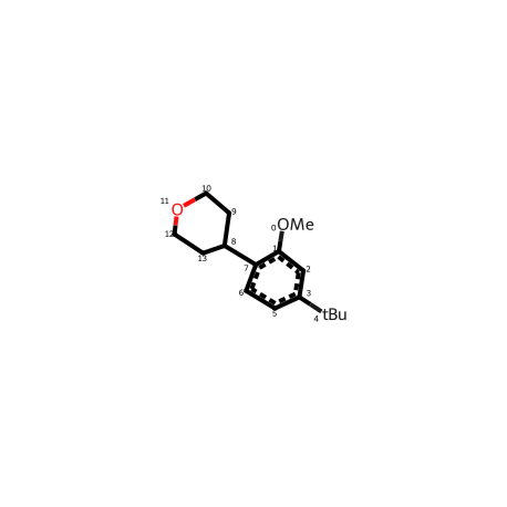 COc1cc(C(C)(C)C)ccc1C1CCOCC1